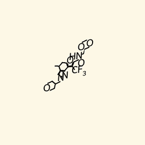 CC1Cc2oc(C(=O)NC[C@@H]3COCCO3)c(C(F)(F)F)c2-c2nn(CC3CCOCC3)cc21